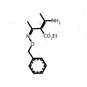 CCOC(=O)/C(C(C)=NOCc1ccccc1)=C(/C)N